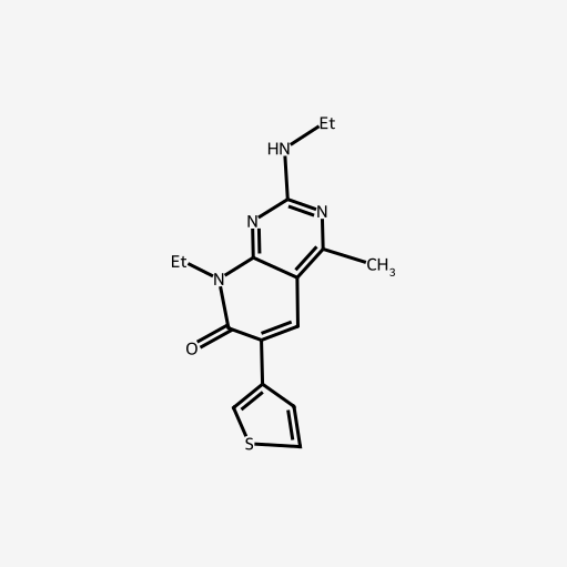 CCNc1nc(C)c2cc(-c3ccsc3)c(=O)n(CC)c2n1